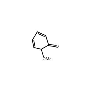 COC1C=C[C]=CC1=O